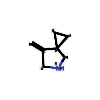 C=C1CNCC12CC2